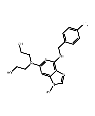 CC(C)n1cnc2c(NCc3ccc(C(F)(F)F)cc3)nc(N(CCO)CCO)nc21